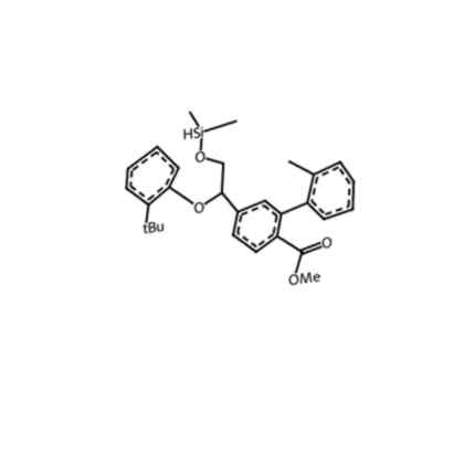 COC(=O)c1ccc(C(CO[SiH](C)C)Oc2ccccc2C(C)(C)C)cc1-c1ccccc1C